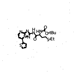 CCSCCC(NC(=O)OC(C)(C)C)C(=O)Nc1nc2nccc(-c3cccs3)n2n1